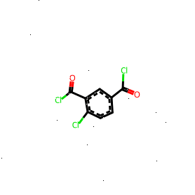 O=C(Cl)c1ccc(Cl)c(C(=O)Cl)c1